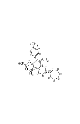 Cc1ccc(-c2c(C)c3c(c(C)c2CC(=O)O)CCN(C2CCCCCC2)C3)cc1